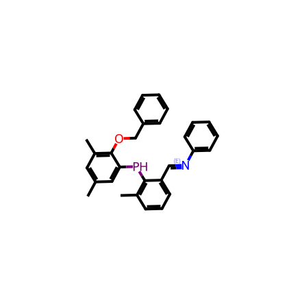 Cc1cc(C)c(OCc2ccccc2)c(Pc2c(C)cccc2/C=N/c2ccccc2)c1